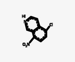 I.O=[N+]([O-])c1ccc(Cl)c2ccncc12